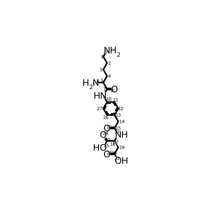 NCCCCC(N)C(=O)Nc1ccc(CC(=O)N[C@@H](CC(=O)O)C(=O)O)cc1